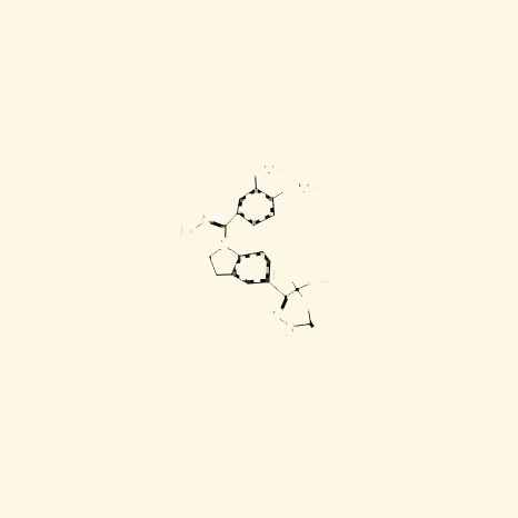 CC/N=C(/c1ccc(OC)c(OC)c1)N1CCc2cc(C3=NN(C)C(=O)SC3(C)C)ccc21